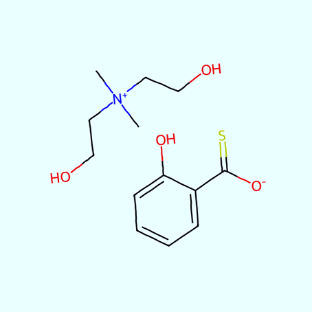 C[N+](C)(CCO)CCO.[O-]C(=S)c1ccccc1O